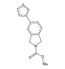 CC(C)(C)OC(=O)N1Cc2ccc(-c3ccsc3)cc2C1